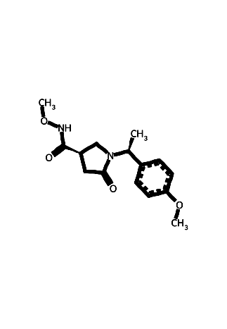 CONC(=O)[C@@H]1CC(=O)N([C@@H](C)c2ccc(OC)cc2)C1